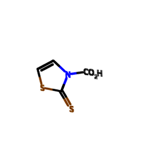 O=C(O)n1ccsc1=S